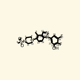 Cc1c(N2CCN(S(C)(=O)=O)CC2)ccc2c1cnn2-c1cc(O)c(F)c(F)c1